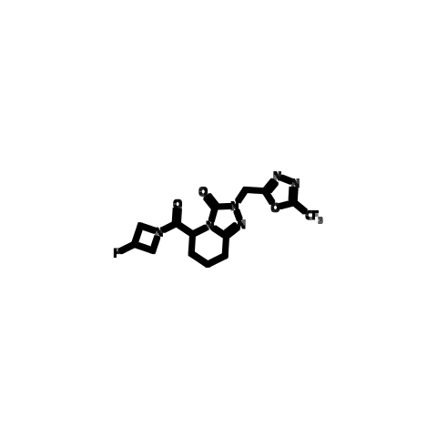 O=C(C1CCCc2nn(Cc3nnc(C(F)(F)F)o3)c(=O)n21)N1CC(F)C1